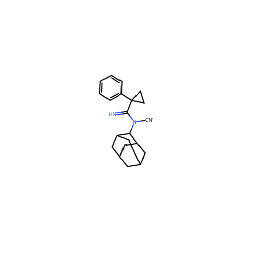 N#CN(C(=N)C1(c2ccccc2)CC1)C1C2CC3CC(C2)CC1C3